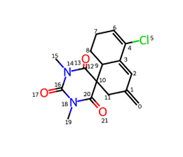 C=C1C=C2C(Cl)=CCCC2C2(C1)C(=O)N(C)C(=O)N(C)C2=O